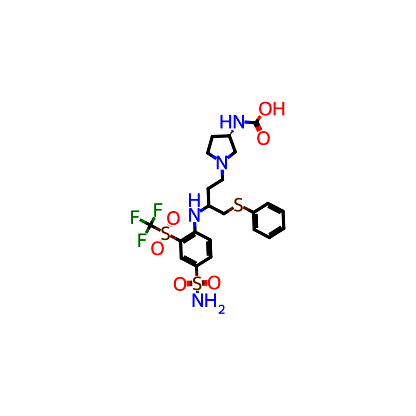 NS(=O)(=O)c1ccc(NC(CCN2CC[C@H](NC(=O)O)C2)CSc2ccccc2)c(S(=O)(=O)C(F)(F)F)c1